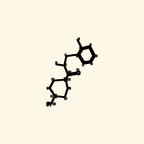 Cc1ccccc1CC(C)C(=O)N1CCN(C(C)C)CC1